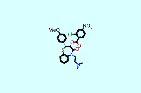 COc1ccc([C@H]2Sc3ccccc3N(CCN(C)C)C(=O)[C@H]2OC(=O)c2ccc([N+](=O)[O-])cc2Cl)cc1